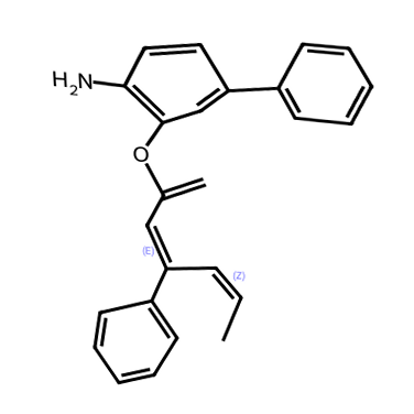 C=C(/C=C(\C=C/C)c1ccccc1)Oc1cc(-c2ccccc2)ccc1N